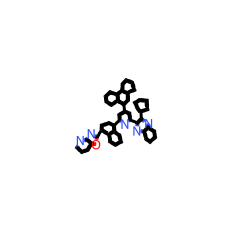 c1ccc(-c2nc3ccccc3nc2-c2cc(-c3cc4ccccc4c4ccccc34)cc(-c3ccc(-c4nc5ncccc5o4)c4ccccc34)n2)cc1